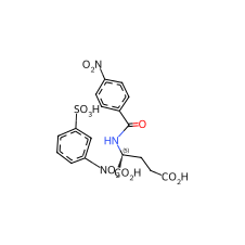 O=C(O)CC[C@H](NC(=O)c1ccc([N+](=O)[O-])cc1)C(=O)O.O=[N+]([O-])c1cccc(S(=O)(=O)O)c1